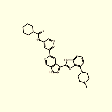 CN1CCN(c2cccc3[nH]c(-c4n[nH]c5cnc(-c6cncc(NC(=O)C7CCCCC7)c6)cc45)nc23)CC1